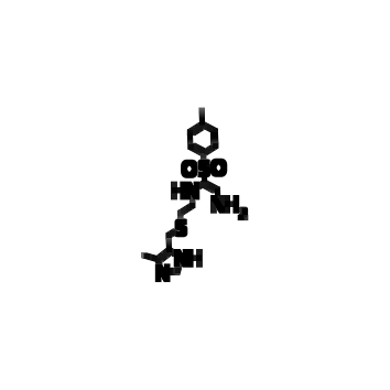 Cc1ccc(S(=O)(=O)C(=CN)NCCSCc2[nH]cnc2C)cc1